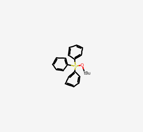 CC(C)(C)OS(c1ccccc1)(c1ccccc1)c1ccccc1